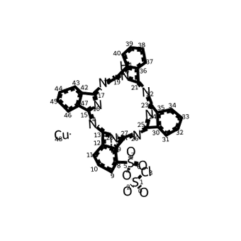 O=S(=O)(Cl)OS(=O)(=O)c1cccc2c3nc4nc(nc5[nH]c(nc6nc(nc([nH]3)c12)-c1ccccc1-6)c1ccccc51)-c1ccccc1-4.[Cu]